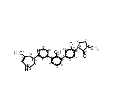 CC1=CNCCN(c2cc(-c3cccc(-c4ccc(N5CCN(C)C5=O)c(F)c4)c3O)ccn2)C1